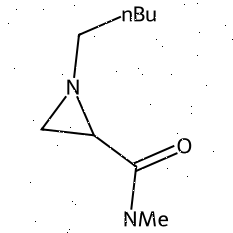 CCCCCN1CC1C(=O)NC